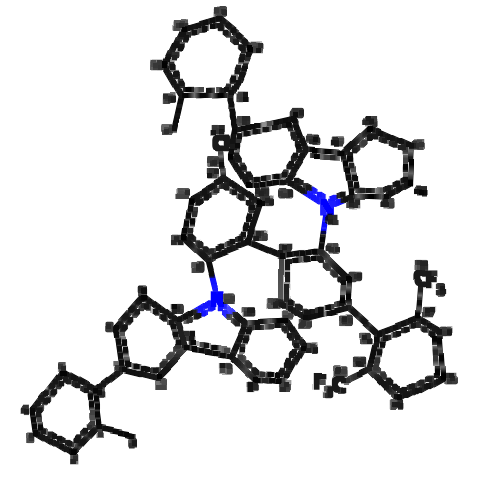 Cc1ccccc1-c1ccc2c(c1)c1ccccc1n2-c1ccc(C#N)cc1-c1ccc(-c2c(C(F)(F)F)cccc2C(F)(F)F)cc1-n1c2ccccc2c2cc(-c3ccccc3C)ccc21